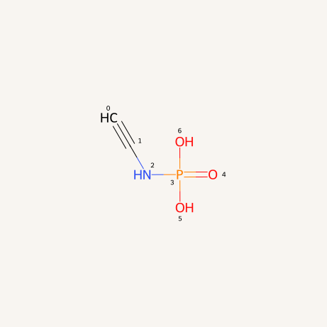 C#CNP(=O)(O)O